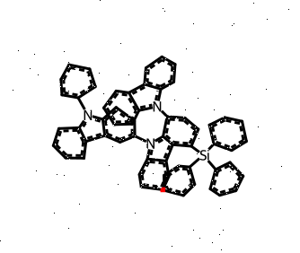 c1ccc(-n2c3ccccc3c3cc(-n4c5ccccc5c5c([Si](c6ccccc6)(c6ccccc6)c6ccccc6)ccc(-n6c7ccccc7c7ccccc76)c54)ccc32)cc1